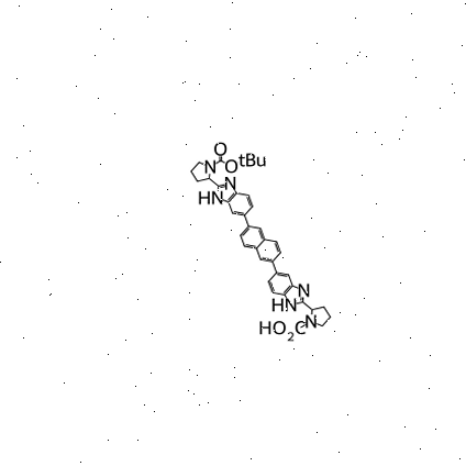 CC(C)(C)OC(=O)N1CCCC1c1nc2ccc(-c3ccc4cc(-c5ccc6[nH]c(C7CCCN7C(=O)O)nc6c5)ccc4c3)cc2[nH]1